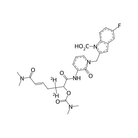 [2H]C([2H])(C/C=C/C(=O)N(C)C)C(OC(=O)N(C)C)C(=O)Nc1cccn(Cc2cc3cc(F)ccc3n2C(=O)O)c1=O